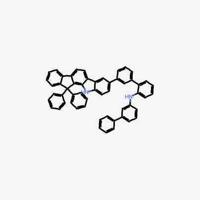 c1ccc(-c2cccc(Nc3ccccc3-c3cccc(-c4ccc5[nH]c6c7c(ccc6c5c4)-c4ccccc4C7(c4ccccc4)c4ccccc4)c3)c2)cc1